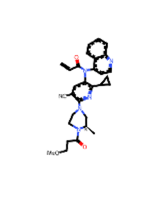 C=CC(=O)N(c1cc(C#N)c(N2CCN(C(=O)CCOC)[C@H](C)C2)nc1C1CC1)c1ccnc2ccccc12